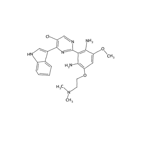 COc1cc(OCCN(C)C)c(N)c(-c2ncc(Cl)c(-c3c[nH]c4ccccc34)n2)c1N